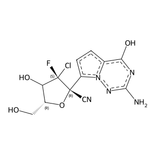 N#C[C@@]1(c2ccc3c(O)nc(N)nn23)O[C@H](CO)C(O)[C@]1(F)Cl